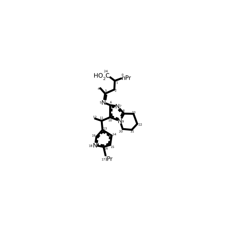 CCCC(C/C(C)=N\c1nc2n(c1C(C)c1ccc(C(C)C)nc1)CCCC2)C(=O)O